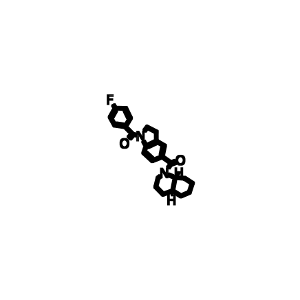 O=C(c1ccc(F)cc1)N1CCc2cc(C(=O)N3CCC[C@@H]4CCCC[C@H]43)ccc21